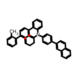 Cc1ccccc1-c1ccc(-c2ccccc2N(C2=CC=CCC2)c2ccc(-c3ccc4ccccc4c3)cc2)cc1